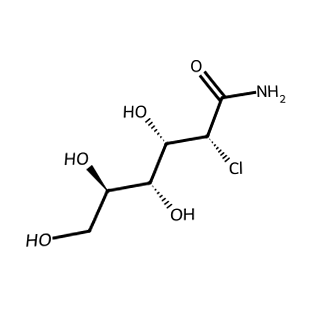 NC(=O)[C@H](Cl)[C@@H](O)[C@H](O)[C@H](O)CO